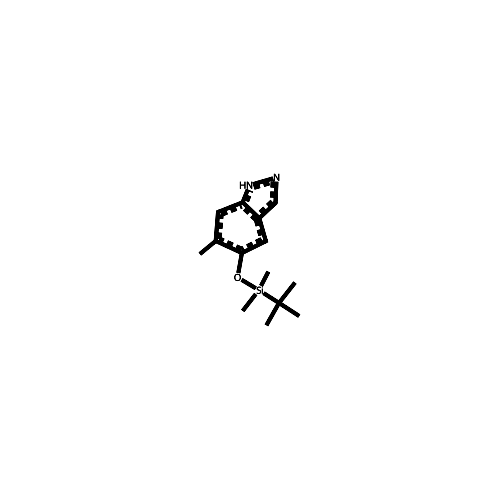 Cc1cc2[nH]ncc2cc1O[Si](C)(C)C(C)(C)C